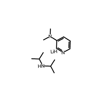 CC(C)NC(C)C.CN(C)c1cccnc1.[LiH]